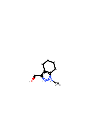 Cn1nc(C=O)c2c1CCCC2